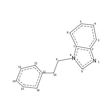 [c]1nc2ccccc2n1CCc1ccccc1